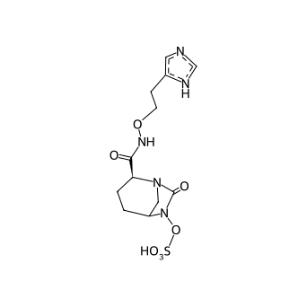 O=C(NOCCc1cnc[nH]1)[C@@H]1CCC2CN1C(=O)N2OS(=O)(=O)O